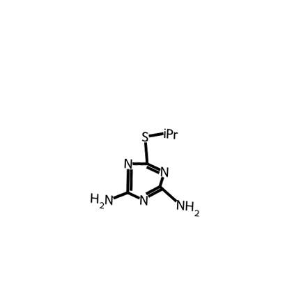 CC(C)Sc1nc(N)nc(N)n1